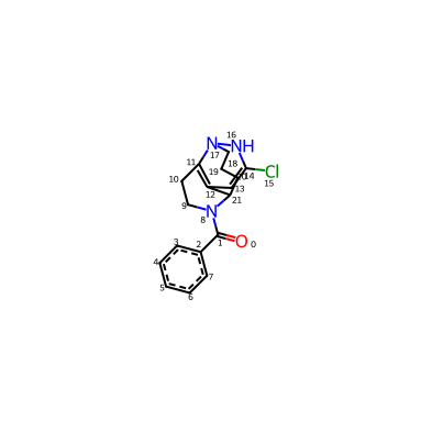 O=C(c1ccccc1)N1CCC2=C3C=C(Cl)NN2CCCC31